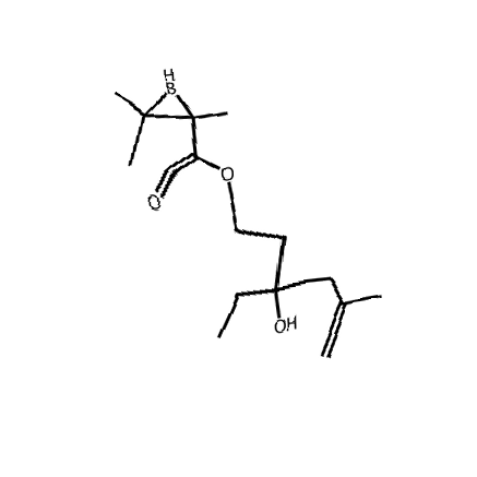 C=C(C)CC(O)(CC)CCOC(=O)C1(C)BC1(C)C